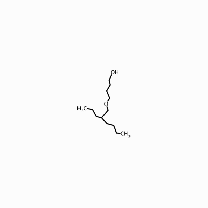 CCCCC(CCC)COCCCCO